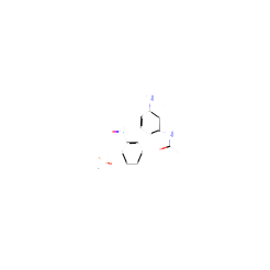 CC(=O)Nc1cccc(N)c1.O=S(=O)(Cl)Cl.O=[N+]([O-])c1ccccc1